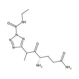 CCNC(=O)n1nnc([C](C)C(=O)[C@@H](N)CCC(N)=O)n1